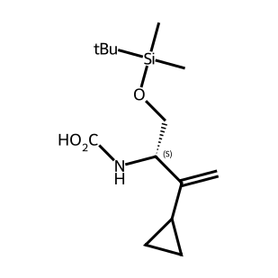 C=C(C1CC1)[C@@H](CO[Si](C)(C)C(C)(C)C)NC(=O)O